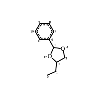 CCC1COC(c2ccccc2)O1